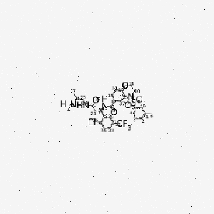 Cc1cccc(S(=O)(=O)N2CCOc3ccc(C(=O)N[C@@H](CC(=O)NCC(C)N)c4cc(C(F)(F)F)ccc4Cl)cc32)c1